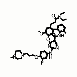 CCN(CC)C(=O)CCc1ccc(Oc2nc(Nc3ccc(OCCCN4CCN(C)CC4)c(F)c3)ncc2C(=O)Nc2c(C)cccc2C)c(OC)c1